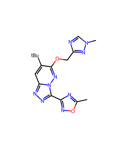 Cc1nc(-c2nnc3cc(C(C)(C)C)c(OCc4ncn(C)n4)nn23)no1